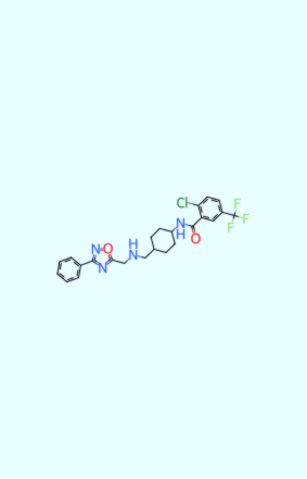 O=C(NC1CCC(CNCc2nc(-c3ccccc3)no2)CC1)c1cc(C(F)(F)F)ccc1Cl